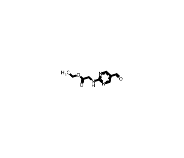 CCOC(=O)CNc1ncc(C=O)cn1